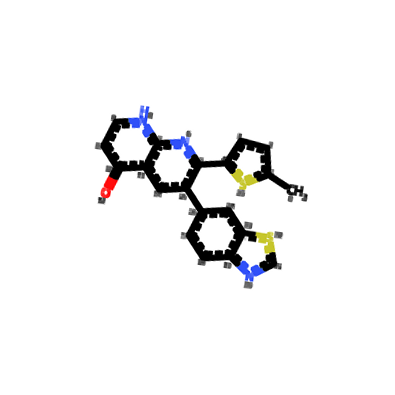 Cc1ccc(-c2nc3[nH]ccc(=O)c3cc2-c2ccc3ncsc3c2)s1